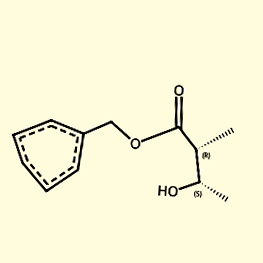 C[C@H](O)[C@@H](C)C(=O)OCc1ccccc1